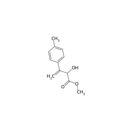 C=C(c1ccc(C)cc1)C(O)C(=O)OC